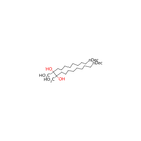 CCCCCCCCCCCCCCCCCCC(O)(C(=O)O)C(O)(CCCCCCCCCCCCCCCCCC)C(=O)O